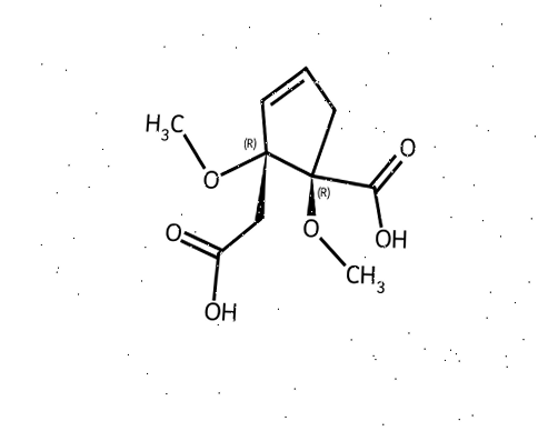 CO[C@]1(C(=O)O)CC=C[C@@]1(CC(=O)O)OC